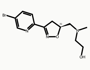 CN(CCO)C[C@@H]1CC(c2ccc(Br)cn2)=NO1